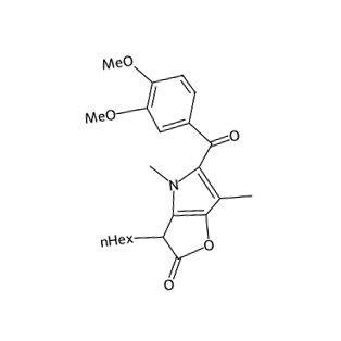 CCCCCCC1C(=O)Oc2c(C)c(C(=O)c3ccc(OC)c(OC)c3)n(C)c21